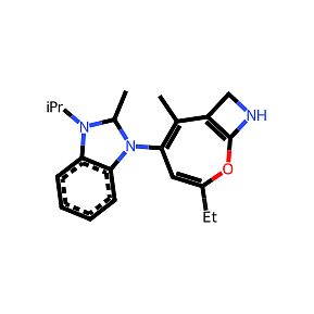 CCC1=CC(N2c3ccccc3N(C(C)C)C2C)=C(C)C2=C(NC2)O1